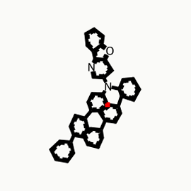 c1ccc(-c2ccc(-c3ccc(N(c4cnc5c(c4)oc4ccccc45)c4ccccc4-c4ccc(-c5ccccc5)cc4)cc3)cc2)cc1